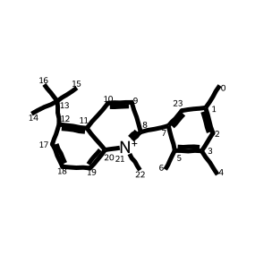 Cc1cc(C)c(C)c(-c2ccc3c(C(C)(C)C)cccc3[n+]2C)c1